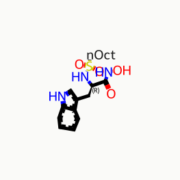 CCCCCCCCS(=O)(=O)N[C@H](Cc1c[nH]c2ccccc12)C(=O)NO